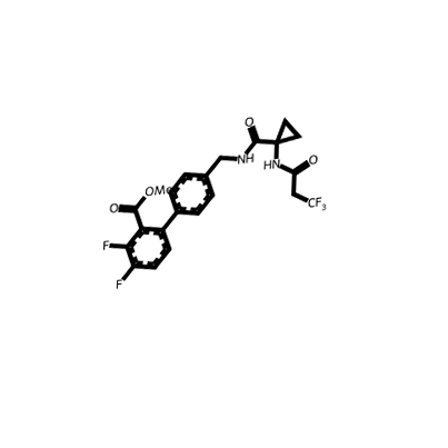 COC(=O)c1c(-c2ccc(CNC(=O)C3(NC(=O)CC(F)(F)F)CC3)cc2)ccc(F)c1F